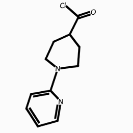 O=C(Cl)C1CCN(c2ccccn2)CC1